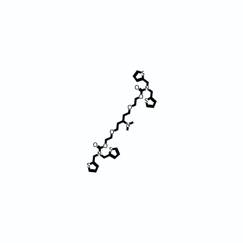 CN(C)C(CCOCCOC(=O)N(Cc1cccs1)Cc1cccs1)CCOCCOC(=O)N(Cc1cccs1)Cc1cccs1